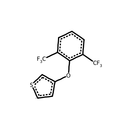 FC(F)(F)c1cccc(C(F)(F)F)c1Oc1c[c]sc1